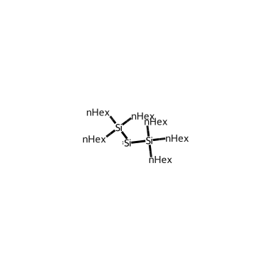 CCCCCC[Si](CCCCCC)(CCCCCC)[Si][Si](CCCCCC)(CCCCCC)CCCCCC